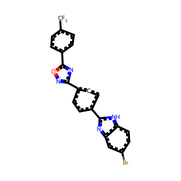 FC(F)(F)c1ccc(-c2nc(-c3ccc(-c4nc5cc(Br)ccc5[nH]4)cc3)no2)cc1